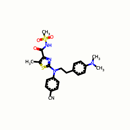 Cc1sc(N(CCc2ccc(N(C)C)cc2)c2ccc(C#N)cc2)nc1C(=O)NS(C)(=O)=O